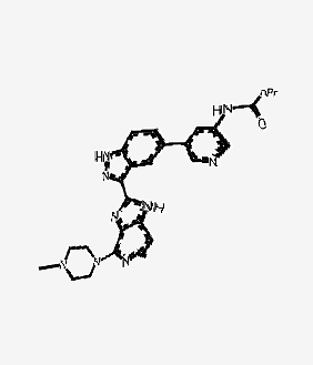 CCCC(=O)Nc1cncc(-c2ccc3[nH]nc(-c4nc5c(N6CCN(C)CC6)nccc5[nH]4)c3c2)c1